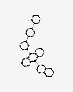 Cc1ccncc1-c1ccc(-c2cccc(-c3c4ccccc4c(-c4ccc5ccccc5c4)c4ccccc34)c2)cc1